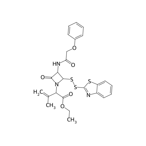 C=C(C)C(C(=O)OCC)N1C(=O)C(NC(=O)COc2ccccc2)C1SSc1nc2ccccc2s1